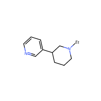 CCN1CCCC(c2cccnc2)C1